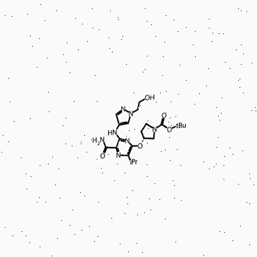 CC(C)c1nc(C(N)=O)c(Nc2cnn(CCO)c2)nc1O[C@@H]1CCN(C(=O)OC(C)(C)C)C1